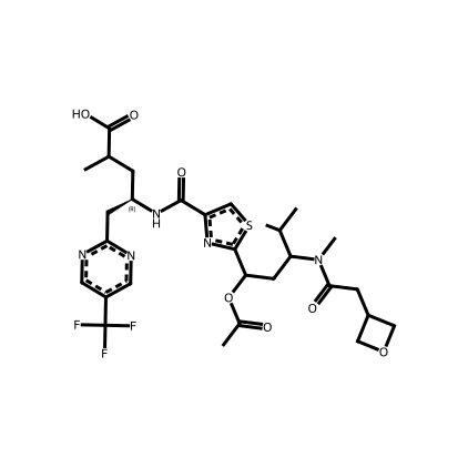 CC(=O)OC(CC(C(C)C)N(C)C(=O)CC1COC1)c1nc(C(=O)N[C@@H](Cc2ncc(C(F)(F)F)cn2)CC(C)C(=O)O)cs1